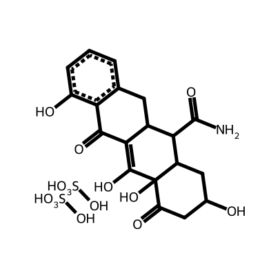 NC(=O)C1C2Cc3cccc(O)c3C(=O)C2=C(O)C2(O)C(=O)CC(O)CC12.O=S(=O)(O)O.O=S(=O)(O)O